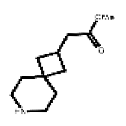 COC(=O)CC1CC2(CCNCC2)C1